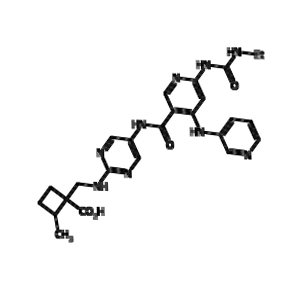 CCNC(=O)Nc1cc(Nc2cccnc2)c(C(=O)Nc2cnc(NCC3(C(=O)O)CCC3C)nc2)cn1